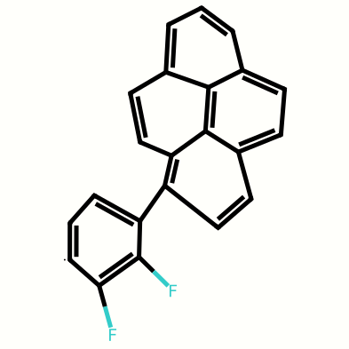 Fc1[c]ccc(-c2ccc3ccc4cccc5ccc2c3c45)c1F